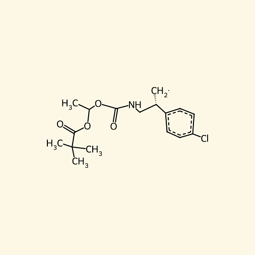 [CH2][C@@H](CNC(=O)OC(C)OC(=O)C(C)(C)C)c1ccc(Cl)cc1